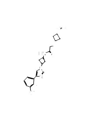 O=C(CO[C@H]1C[C@@H](OC(F)(F)F)C1)NC12CC(n3cnc(-c4cccc(C(F)(F)F)c4)c3)(C1)C2